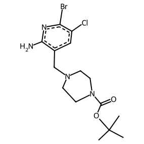 CC(C)(C)OC(=O)N1CCN(Cc2cc(Cl)c(Br)nc2N)CC1